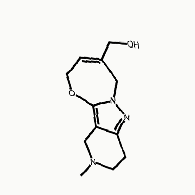 CN1CCc2nn3c(c2C1)OCC=C(CO)C3